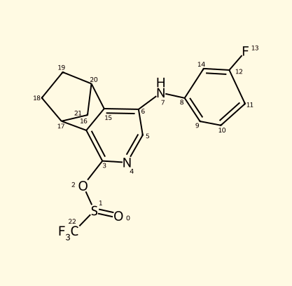 O=S(Oc1ncc(Nc2cccc(F)c2)c2c1C1CCC2C1)C(F)(F)F